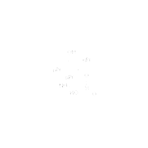 CCCC(O)C(CCC)(CCC)O[Si](=O)O.N